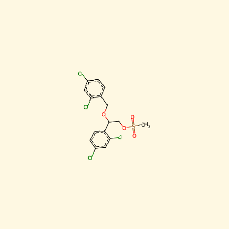 CS(=O)(=O)OCC(OCc1ccc(Cl)cc1Cl)c1ccc(Cl)cc1Cl